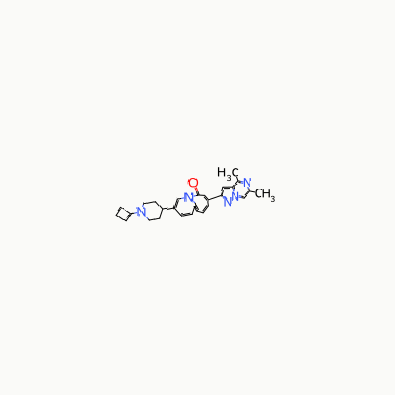 Cc1cn2nc(C3=C\C(=O)N4C=C(C5CCN(C6CCC6)CC5)C=C\C4=C/C=C/3)cc2c(C)n1